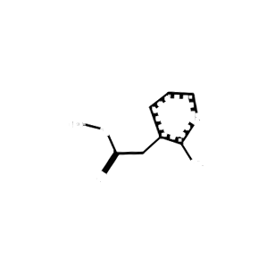 CC(C)(C)OC(=O)Cc1cccnc1C(C)(C)C